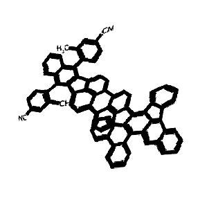 Cc1cc(C#N)ccc1-c1c2c(c(-c3ccc(C#N)cc3C)c3ccccc13)-c1ccc3c4ccc5c6c(ccc(c7ccc-2c1c73)c46)c1c(-c2ccccc2-c2ccccc2)c2cc3ccccc3c3c4ccccc4c(c51)c23